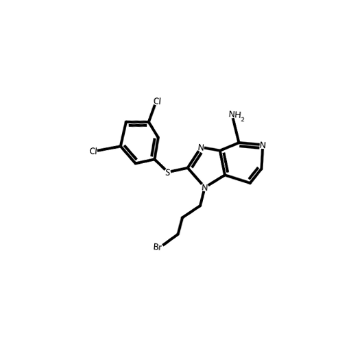 Nc1nccc2c1nc(Sc1cc(Cl)cc(Cl)c1)n2CCCBr